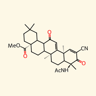 COC(=O)[C@@]12CCC3C(C(=O)C=C4[C@@]5(C)C=C(C#N)C(=O)[C@@](C)(NC(C)=O)C5CC[C@]43C)C1CC(C)(C)CC2